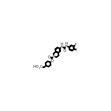 O=C(O)CC1CCC(OC(=O)N2CCc3cc(NC(=O)Nc4ccc(F)c(F)c4)ccc3C2)CC1